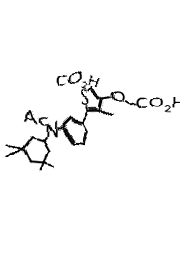 CC(=O)N(c1cccc(-c2sc(C(=O)O)c(OCC(=O)O)c2C)c1)C1CC(C)(C)CC(C)(C)C1